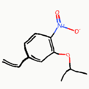 C=Cc1ccc([N+](=O)[O-])c(OC(C)C)c1